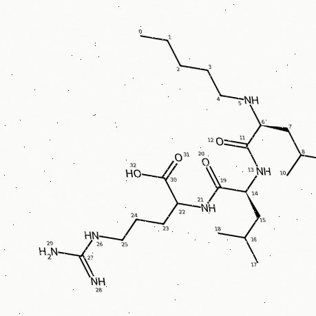 CCCCCN[C@@H](CC(C)C)C(=O)N[C@@H](CC(C)C)C(=O)NC(CCCNC(=N)N)C(=O)O